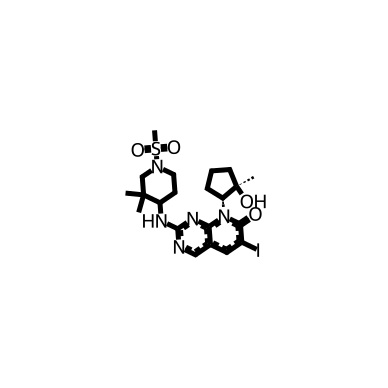 CC1(C)CN(S(C)(=O)=O)CCC1Nc1ncc2cc(I)c(=O)n([C@@H]3CCC[C@@]3(C)O)c2n1